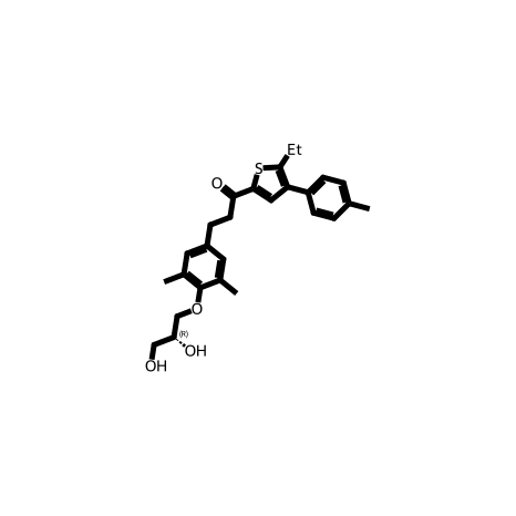 CCc1sc(C(=O)CCc2cc(C)c(OC[C@H](O)CO)c(C)c2)cc1-c1ccc(C)cc1